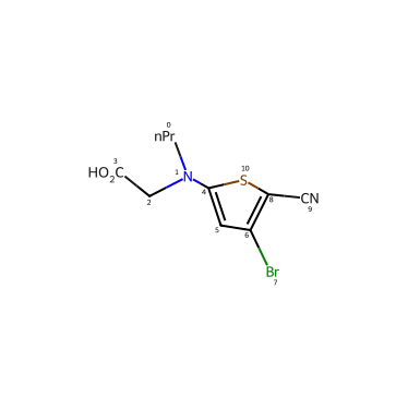 CCCN(CC(=O)O)c1cc(Br)c(C#N)s1